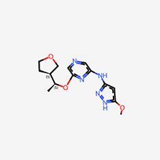 COc1cc(Nc2cncc(O[C@@H](C)[C@H]3CCOC3)n2)n[nH]1